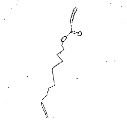 C=CCCCCCCCOC(=O)C=C